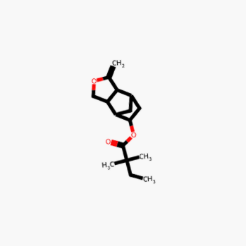 C=C1OCC2C3CC(CC3OC(=O)C(C)(C)CC)C12